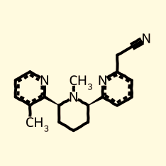 Cc1cccnc1[C@@H]1CCC[C@H](c2cccc(CC#N)n2)N1C